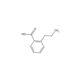 CCCc1[c]cccc1C(=O)O